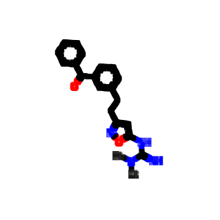 CCN(CC)C(=N)Nc1cc(CCc2cccc(C(=O)c3ccccc3)c2)no1